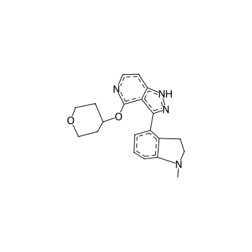 CN1CCc2c(-c3n[nH]c4ccnc(OC5CCOCC5)c34)cccc21